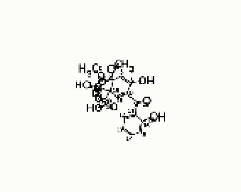 COC1(OC)C=C(O)C(C(=O)c2ccccc2O)=CC1(S(=O)(=O)O)S(=O)(=O)O